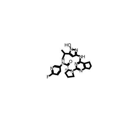 CC(C)c1cc(Nc2nc(N3CCC[C@@H]3C(=O)Nc3ccc(F)nc3)nc3c2CCC3)nn1O